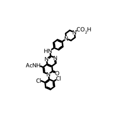 CC(=O)Nc1cn(-c2c(Cl)cccc2Cl)c(=O)c2cnc(Nc3ccc(N4CCN(C(=O)O)CC4)cc3)nc12